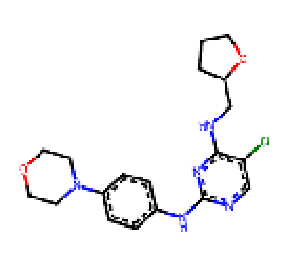 Clc1cnc(Nc2ccc(N3CCOCC3)cc2)nc1NCC1CCCO1